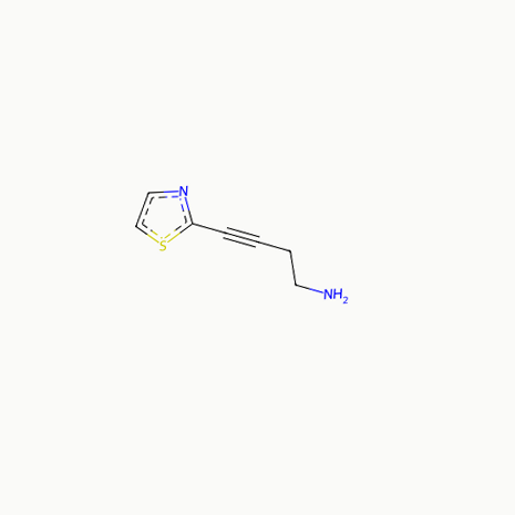 NCCC#Cc1nccs1